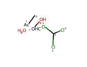 CC(C)=O.ClC(Cl)Cl.O.O=CO